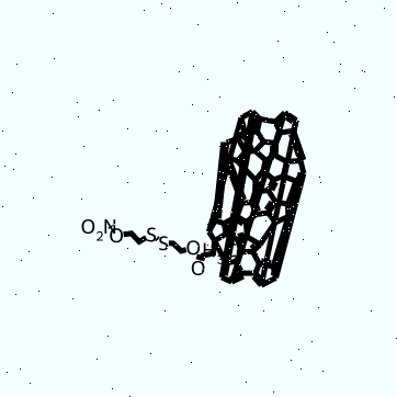 CC12C3=C4c5c1c1c6c7c8c9c%10c6c5-c5c6c%11c%12c(c5-%10)=C5C9C9=C%10C%13C%14=C%15C%16=C%17c%18c(c%19c%20c%21c%22c%23c%24c%20c%18C%15C%24C%13=C%13C%10C5C=%12C(C%13%23)C%22C%11C(C%21=C3%19)C46)C2C%17C1(CC(=O)OCCSSCCO[N+](=O)[O-])C7C%16C%14=C98